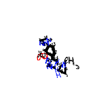 CN1CCC[C@@H](Nc2ncc(-c3ccc(-n4nccn4)cc3OC=O)nn2)C1